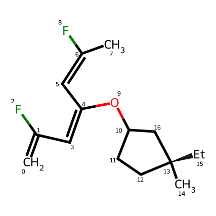 C=C(F)/C=C(\C=C(/C)F)OC1CC[C@](C)(CC)C1